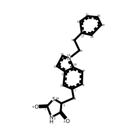 O=C1NC(=O)C(Cc2ccc3c(ccn3CCc3ccccc3)c2)S1